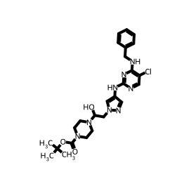 CC(C)(C)OC(=O)N1CCN(C(O)Cn2cc(Nc3ncc(Cl)c(NCc4ccccc4)n3)cn2)CC1